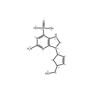 Nc1nc2c(c(P(=O)(O)O)n1)NCN2C1C=CC(CO)C1